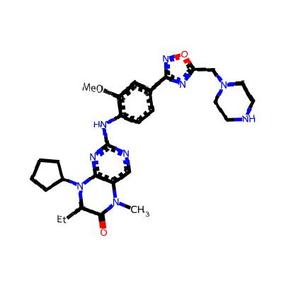 CCC1C(=O)N(C)c2cnc(Nc3ccc(-c4noc(CN5CCNCC5)n4)cc3OC)nc2N1C1CCCC1